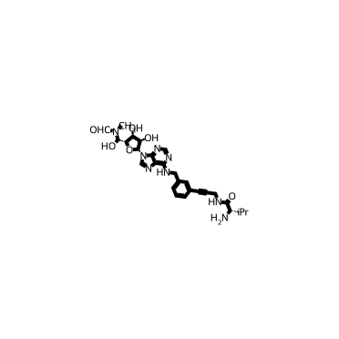 CC(C)[C@H](N)C(=O)NCC#Cc1cccc(CNc2ncnc3c2ncn3[C@@H]2O[C@H](C(O)N(C)C=O)[C@@H](O)[C@H]2O)c1